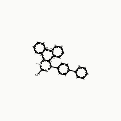 Clc1nc(-c2ccc(-c3ccccc3)cc2)c2c3ccccc3c3ccccc3c2n1